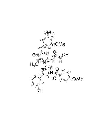 COc1ccc(S(=O)(=O)N(CCc2cccc(Cl)c2)CC(=O)N2C(CC(=O)NO)CN(Cc3cc(OC)cc(OC)c3)C(=O)[C@@H]2C)cc1